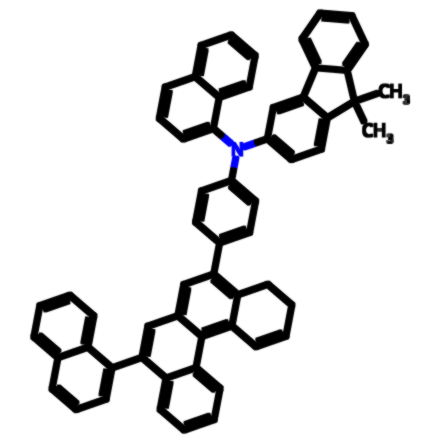 CC1(C)c2ccccc2-c2cc(N(c3ccc(-c4cc5cc(-c6cccc7ccccc67)c6ccccc6c5c5c4CCC=C5)cc3)c3cccc4ccccc34)ccc21